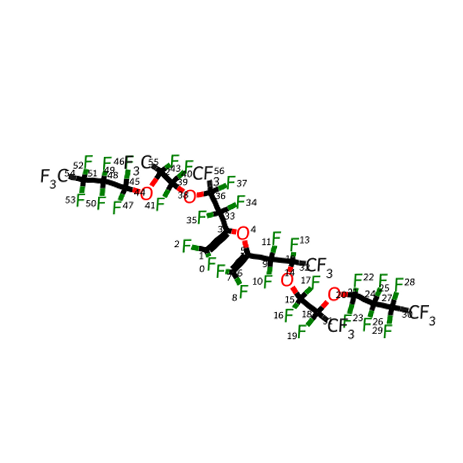 FC(F)=C(OC(=C(F)F)C(F)(F)C(F)(OC(F)(F)C(F)(OC(F)(F)C(F)(F)C(F)(F)C(F)(F)F)C(F)(F)F)C(F)(F)F)C(F)(F)C(F)(OC(F)(F)C(F)(OC(F)(F)C(F)(F)C(F)(F)C(F)(F)F)C(F)(F)F)C(F)(F)F